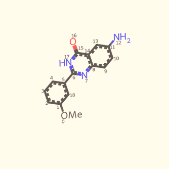 COc1cccc(-c2nc3ccc(N)cc3c(=O)[nH]2)c1